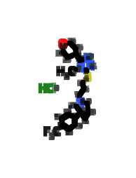 Cl.Cn1c(SCCCN2CC3CC3(c3ccc(C(F)(F)F)cc3)C2)nnc1C1CCOCC1